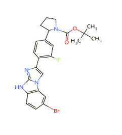 CC(C)(C)OC(=O)N1CCCC1c1ccc(-c2cn3c(n2)[nH]c2ccc(Br)cc23)c(F)c1